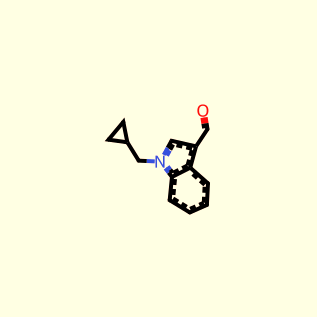 O=Cc1cn(CC2CC2)c2ccccc12